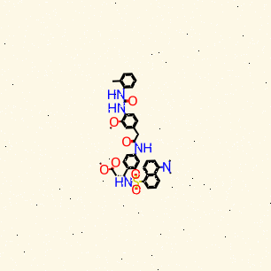 COC(=O)C[C@@H](NS(=O)(=O)c1cccc2c(N(C)C)cccc12)c1ccc(NC(=O)Cc2ccc(NC(=O)Nc3ccccc3C)c(OC)c2)cc1